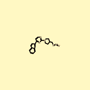 [N-]=[N+]=NCC1CCN(c2nccc(-c3ccc4ccccc4c3)n2)CC1